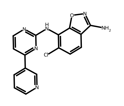 Nc1noc2c(Nc3nccc(-c4cccnc4)n3)c(Cl)ccc12